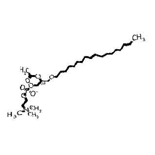 CCCCCCCCCCCCCCCCCCOC[C@@H](COP(=O)([O-])OCC[N+](C)(C)C)OC(C)=O